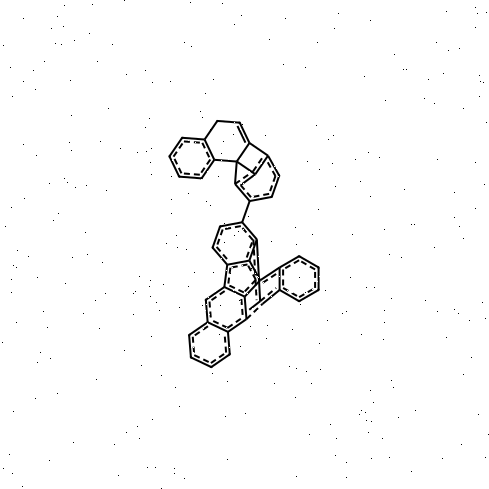 C1=C2c3ccc(-c4ccc5c6cc7ccccc7c7c8c9ccccc9c(c5c48)c67)c4c3C24c2ccccc2C1